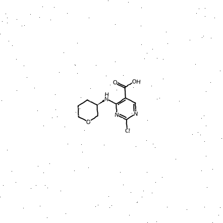 O=C(O)c1cnc(Cl)nc1N[C@@H]1CCCOC1